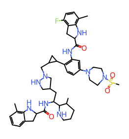 Cc1cccc2c1NC(C(=O)NC(CC1CNN(CC3CC3c3ccc(N4CCN(S(C)(=O)=O)CC4)cc3NC(=O)C3Cc4c(F)ccc(C)c4N3)C1)C1NCCCC1C)C2